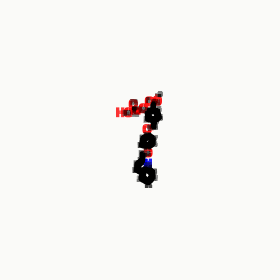 COC(=O)c1ccc(COc2ccc(OCc3ccc4ccccc4n3)cc2)cc1OCC(=O)O